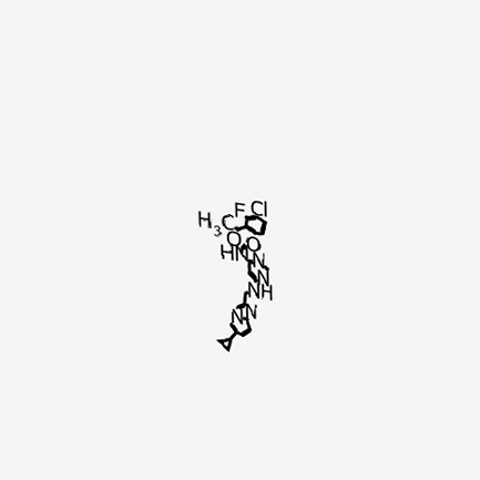 CC(OC(=O)Nc1cc(NCc2cn3cc(C4CC4)ccc3n2)ncn1)c1cccc(Cl)c1F